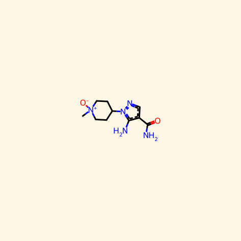 C[N+]1([O-])CCC(n2ncc(C(N)=O)c2N)CC1